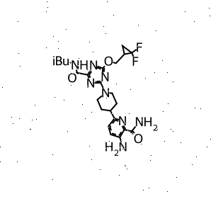 CC[C@@H](C)NC(=O)c1nc(OCC2CC2(F)F)nc(N2CCC(c3ccc(N)c(C(N)=O)n3)CC2)n1